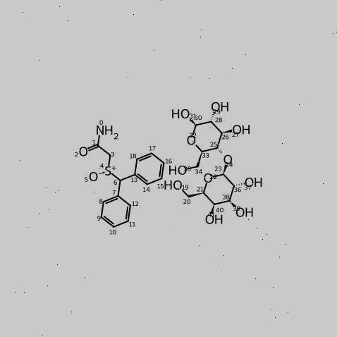 NC(=O)C[S+]([O-])C(c1ccccc1)c1ccccc1.OC[C@H]1O[C@@H](O[C@H]2[C@H](O)[C@@H](O)[C@H](O)O[C@@H]2CO)[C@H](O)[C@@H](O)[C@H]1O